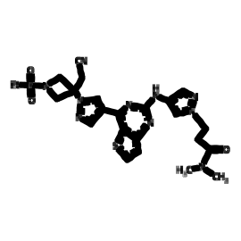 CCS(=O)(=O)N1CC(CC#N)(n2cc(-c3nc(Nc4cnn(CCC(=O)N(C)C)c4)nc4ccsc34)cn2)C1